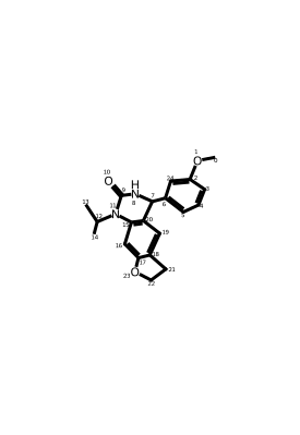 COc1cccc(C2NC(=O)N(C(C)C)c3cc4c(cc32)CCO4)c1